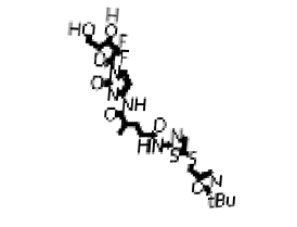 CC(CCC(=O)Nc1ncc(SCc2cnc(C(C)(C)C)o2)s1)C(=O)Nc1ccn([C@@H]2OC(CO)C(O)C2(F)F)c(=O)n1